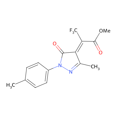 COC(=O)/C(=C1/C(=O)N(c2ccc(C)cc2)N=C1C)C(F)(F)F